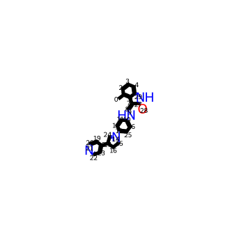 Cc1cccc2c1C(=CNc1ccc(N3CCC(c4ccncc4)C3)cc1)C(=O)N2